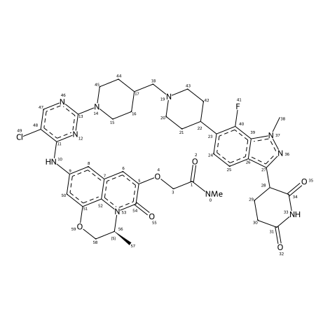 CNC(=O)COc1cc2cc(Nc3nc(N4CCC(CN5CCC(c6ccc7c(C8CCC(=O)NC8=O)nn(C)c7c6F)CC5)CC4)ncc3Cl)cc3c2n(c1=O)[C@@H](C)CO3